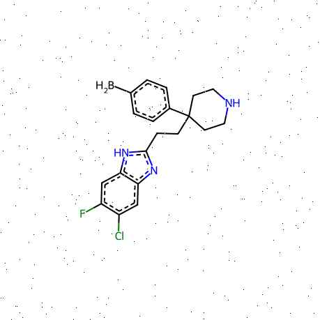 Bc1ccc(C2(CCc3nc4cc(Cl)c(F)cc4[nH]3)CCNCC2)cc1